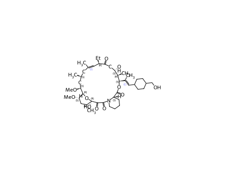 CC[C@@H]1/C=C(\C)C[C@H](C)C[C@H](OC)[C@H]2O[C@@](O)(C(=O)C(=O)N3CCCC[C@H]3C(=O)O[C@H](/C(C)=C/C3CCC(CO)CC3)[C@H](C)[C@@H](O)CC1=O)[C@H](C)C[C@@H]2OC